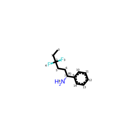 CCC(F)(F)CC[C@@H](N)c1ccccc1